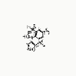 CSc1ccc(C(O)c2cnoc2C2CC2)c(C(F)(F)F)c1